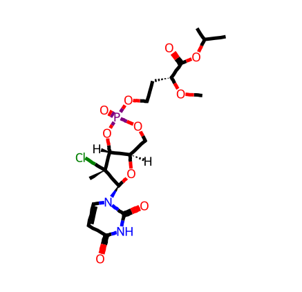 CO[C@H](CCOP1(=O)OC[C@H]2O[C@@H](n3ccc(=O)[nH]c3=O)[C@](C)(Cl)[C@@H]2O1)C(=O)OC(C)C